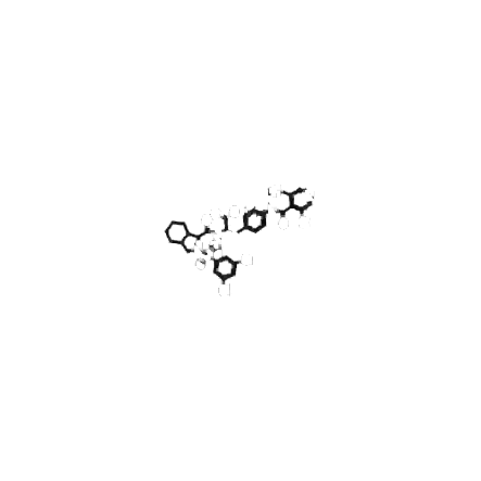 COC(=O)[C@H](Cc1ccc(NC(=O)c2c(Cl)cncc2Cl)cc1)NC(=O)C1C2CCCCC2CN1S(=O)(=O)c1cc(Cl)cc(Cl)c1